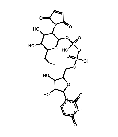 O=C1C=CC(=O)N1C1C(OP(=O)(O)OP(=O)(O)OCC2OC(n3ccc(=O)[nH]c3=O)C(O)C2O)OC(CO)C(O)C1O